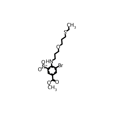 CCSCCCOCCCNc1c(Br)cc(C(=O)OC)cc1[N+](=O)[O-]